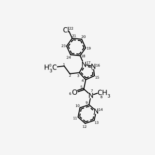 CCCc1c(C(=O)N(C)c2ccccn2)cnn1-c1ccc(Cl)cc1